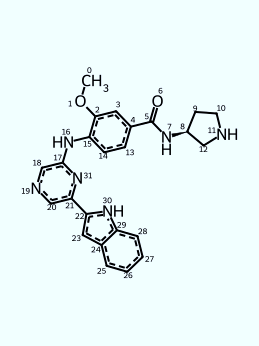 COc1cc(C(=O)N[C@H]2CCNC2)ccc1Nc1cncc(-c2cc3ccccc3[nH]2)n1